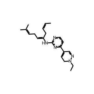 C/C=C\C/C(=C\CC=C(C)C)Nc1nccc(C2=CCN(CC)N=C2)n1